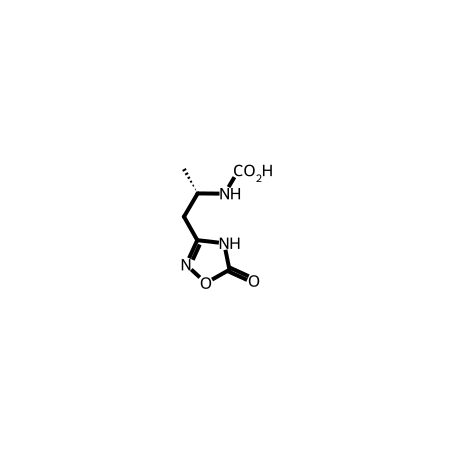 C[C@@H](Cc1noc(=O)[nH]1)NC(=O)O